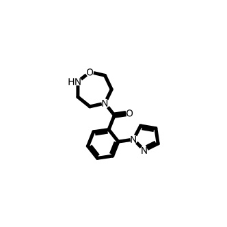 O=C(c1ccccc1-n1cccn1)N1CCNOCC1